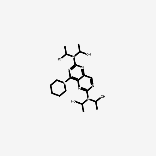 CC(O)N(c1nc(N2CCCCC2)c2nc(N(C(C)O)C(C)O)ncc2n1)C(C)O